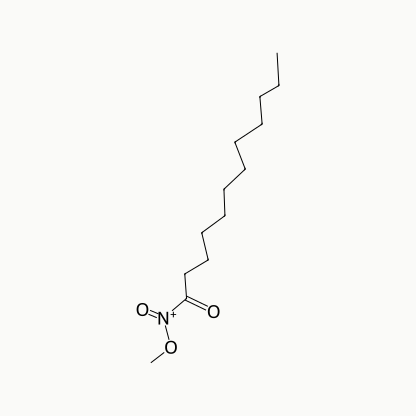 CCCCCCCCCCCC(=O)[N+](=O)OC